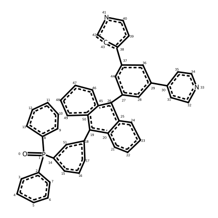 O=P(c1ccccc1)(c1ccccc1)c1cccc(-c2c3ccccc3c(-c3cc(-c4ccncc4)cc(-c4ccncc4)c3)c3ccccc23)c1